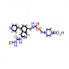 CCNC(=O)Nc1cc2c(-c3ccncc3)ccc(CNC(=O)OCCN3CCN(C(=O)O)CC3)c2cn1